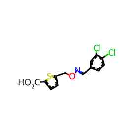 O=C(O)c1ccc(CON=Cc2ccc(Cl)c(Cl)c2)s1